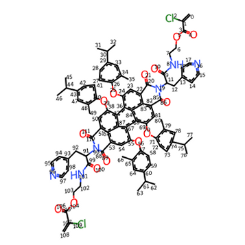 C=C(Cl)C(=O)OCCNC(=O)C(Cc1ccncc1)N1C(=O)c2cc(Oc3ccc(C(C)C)cc3C)c3c4c(Oc5ccc(C(C)C)cc5C)cc5c6c(cc(Oc7ccc(C(C)C)cc7C)c(c7c(Oc8ccc(C(C)C)cc8C)cc(c2c37)C1=O)c64)C(=O)N(C(Cc1ccncc1)C(=O)NCCOC(=O)C(=C)Cl)C5=O